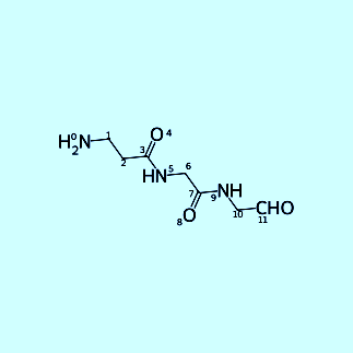 NCCC(=O)NCC(=O)NCC=O